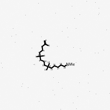 C=C(C)CCCC(C)(C)CCCC(C)(C)CCCCCNC